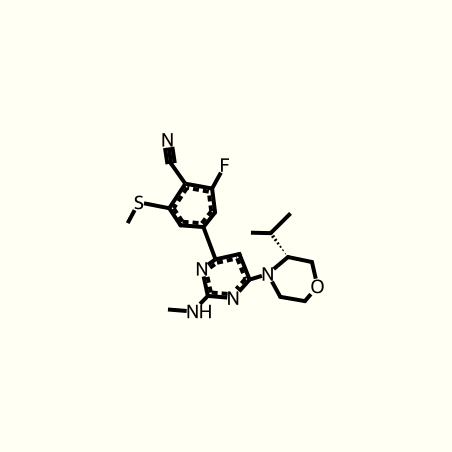 CNc1nc(-c2cc(F)c(C#N)c(SC)c2)cc(N2CCOC[C@H]2C(C)C)n1